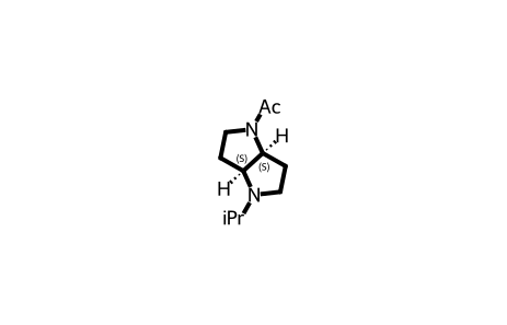 CC(=O)N1CC[C@H]2[C@@H]1CCN2C(C)C